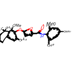 COc1cc(OC)c(NC(=O)c2ccc(Oc3c(C)cc4c(c3OC)C(C)(C)CCC4)o2)c(OC)c1